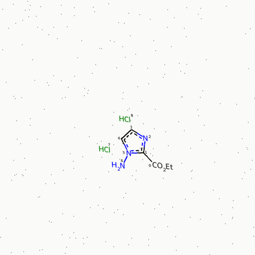 CCOC(=O)c1nccn1N.Cl.Cl